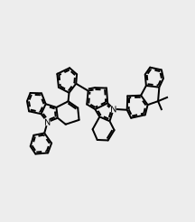 CC1(C)c2ccccc2-c2cc(-n3c4c(c5cc(-c6ccccc6C6=CCCc7c6c6ccccc6n7-c6ccccc6)ccc53)CCC=C4)ccc21